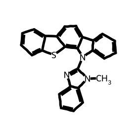 Cn1c(-n2c3ccccc3c3ccc4c5ccccc5sc4c32)nc2ccccc21